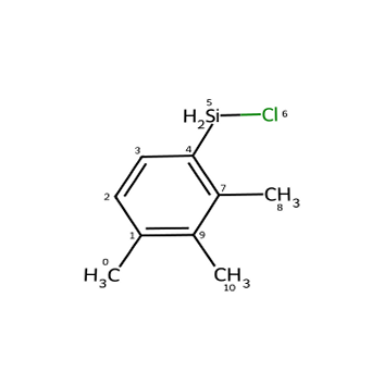 Cc1ccc([SiH2]Cl)c(C)c1C